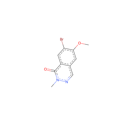 COc1cc2cnn(C)c(=O)c2cc1Br